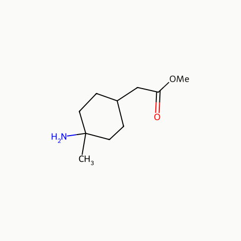 COC(=O)CC1CCC(C)(N)CC1